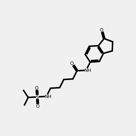 CC(C)S(=O)(=O)NCCCCC(=O)Nc1ccc2c(c1)CCC2=O